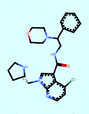 O=C(NCC(c1ccccc1)N1CCOCC1)c1cn(C[C@@H]2CCCN2)c2nccc(Cl)c12